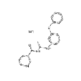 Cl.O=C(NC(=S)Nc1cccc(Oc2ccccc2)c1)c1cccnc1